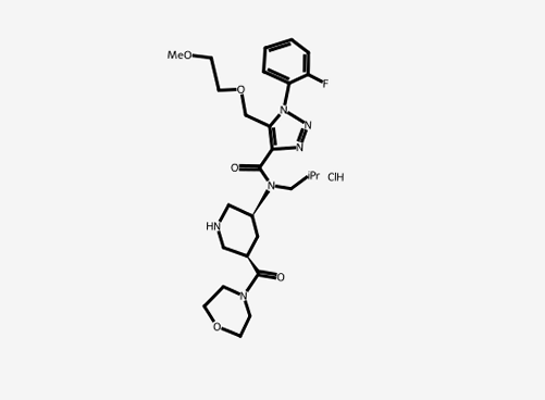 COCCOCc1c(C(=O)N(CC(C)C)[C@@H]2CNC[C@H](C(=O)N3CCOCC3)C2)nnn1-c1ccccc1F.Cl